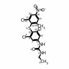 CCNC(=O)Nc1cc(Cl)c(Sc2c(C)cc([N+](=O)[O-])cc2Cl)c(Cl)c1